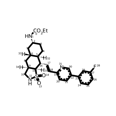 CCOC(=O)N[C@@H]1CC[C@@H]2[C@@H](C1)C[C@@H]1CNS(=O)(=O)[C@@H]1[C@H]2/C=C/c1ccc(-c2cccc(F)c2)cn1